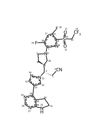 N#CC[C@@H]([C@H]1CCN(c2nc(S(=O)(=O)CC(F)(F)F)c(F)cc2F)C1)n1cc(-c2ncnc3c2CCN3)cn1